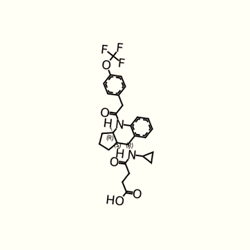 O=C(O)CCC(=O)N(C1CC1)[C@H]1c2ccccc2N(C(=O)Cc2ccc(OC(F)(F)F)cc2)[C@@H]2CCC[C@@H]21